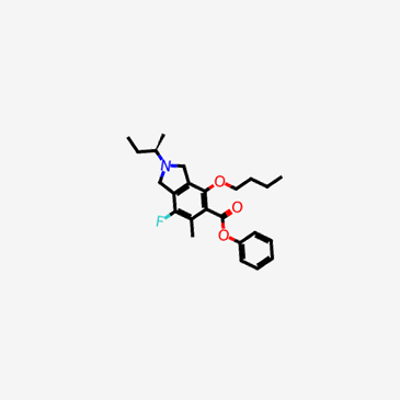 CCCCOc1c2c(c(F)c(C)c1C(=O)Oc1ccccc1)CN([C@H](C)CC)C2